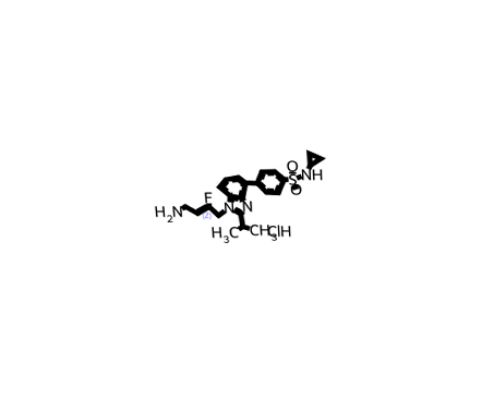 CC(C)c1nc2c(-c3ccc(S(=O)(=O)NC4CC4)cc3)cccc2n1C/C(F)=C/CN.Cl